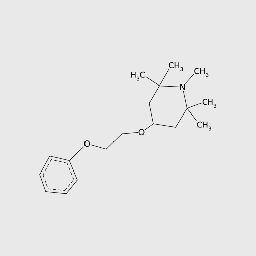 CN1C(C)(C)CC(OCCOc2ccccc2)CC1(C)C